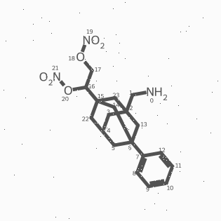 NCC12CC3CC(c4ccccc4)(C1)CC(C(CO[N+](=O)[O-])O[N+](=O)[O-])(C3)C2